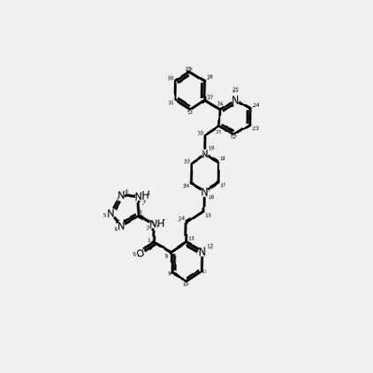 O=C(Nc1nnn[nH]1)c1cccnc1CCN1CCN(Cc2cccnc2-c2ccccc2)CC1